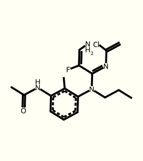 C=C(Cl)/N=C(\C(F)=C/N)N(CCC)c1cccc(NC(C)=O)c1C